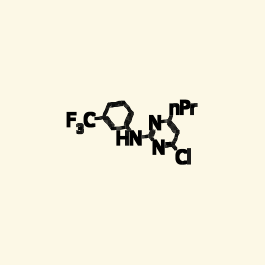 CCCc1cc(Cl)nc(Nc2cccc(C(F)(F)F)c2)n1